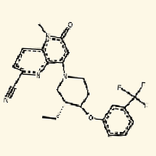 CC[C@@H]1CN(c2cc(=O)n(C)c3ccc(C#N)nc23)CC[C@H]1Oc1cccc(C(F)(F)F)c1